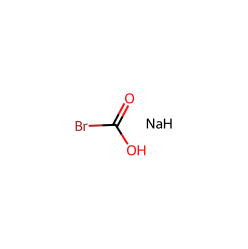 O=C(O)Br.[NaH]